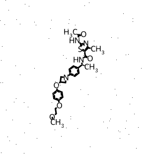 COCCOc1ccc(OC2CN(c3ccc([C@H](C)NC(=O)c4sc(NC(C)=O)nc4C)cc3)C2)cc1